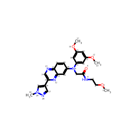 COCCNC(=O)CN(c1cc(OC)cc(OC)c1)c1ccc2ncc(-c3cnn(C)c3)nc2c1